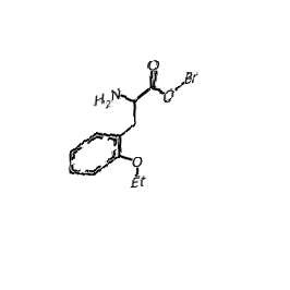 CCOc1ccccc1CC(N)C(=O)OBr